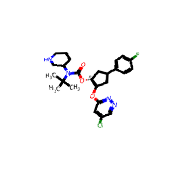 CC(C)(C)N(C(=O)O[C@@H]1CC(c2ccc(F)cc2)CC1Oc1cc(Cl)cnn1)C1CCCNC1